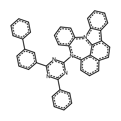 c1ccc(-c2cccc(-c3nc(-c4ccccc4)nc(-n4c5cccc6ccc7c8ccccc8n(c8ccccc84)c7c65)n3)c2)cc1